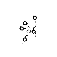 C=CCc1ccc2c(c1)OCO2.COc1ccc(CCN2CCC(Nc3nc4ccccc4n3Cc3ccc(F)cc3)CC2)cc1.Oc1nc2cc(Cl)ccc2o1